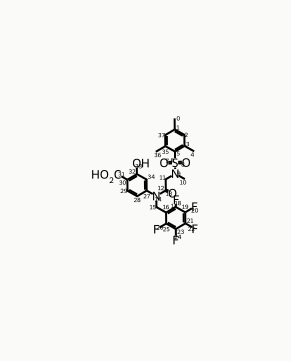 Cc1cc(C)c(S(=O)(=O)N(C)CC(=O)N(Cc2c(F)c(F)c(F)c(F)c2F)c2ccc(C(=O)O)c(O)c2)c(C)c1